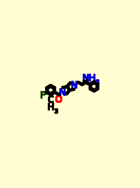 Cc1c(F)cccc1C(=O)N1CC2CN(CC[C@H](N)c3ccccc3)CC2C1